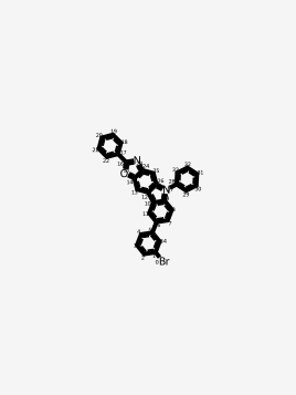 Brc1cccc(-c2ccc3c(c2)c2cc4oc(-c5ccccc5)nc4cc2n3-c2ccccc2)c1